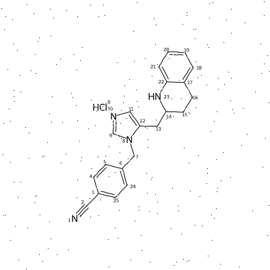 Cl.N#Cc1ccc(Cn2cncc2CC2CCc3ccccc3N2)cc1